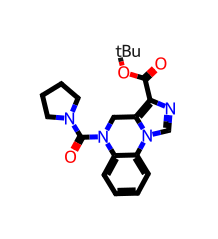 CC(C)(C)OC(=O)c1ncn2c1CN(C(=O)N1CCCC1)c1ccccc1-2